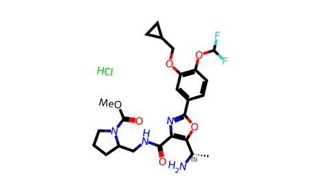 COC(=O)N1CCCC1CNC(=O)c1nc(-c2ccc(OC(F)F)c(OCC3CC3)c2)oc1[C@H](C)N.Cl